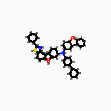 C1=C2c3ccccc3OC2CC=C1N(c1ccc(-c2ccccc2)cc1)c1ccc2c(c1)oc1ccc3sc(-c4ccccc4)nc3c12